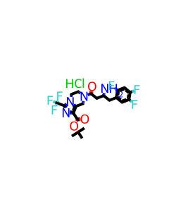 CC(C)(C)OC(=O)c1nc(C(F)(F)F)n2c1CN(C(=O)CC(N)Cc1cc(F)c(F)cc1F)CC2.Cl